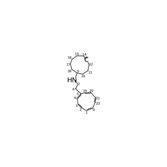 c1ccccc(CCNC2CCCCCCCCC2)cccc1